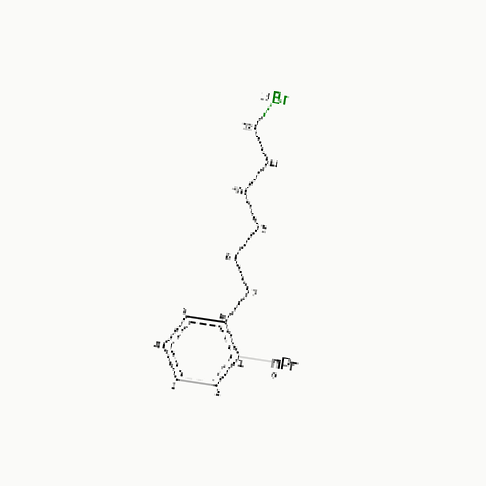 CCCc1ccccc1CCCCCCBr